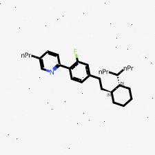 CCCc1ccc(-c2ccc(CC[C@@H]3CCCC[C@H]3C(CCC)CCC)cc2F)nc1